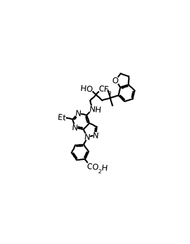 CCc1nc(NCC(O)(CC(C)(C)c2cccc3c2OCC3)C(F)(F)F)c2cnn(-c3cccc(C(=O)O)c3)c2n1